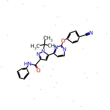 CC(C)(C)n1nc(C(=O)Nc2ccccc2)cc1-c1ccnc(Oc2ccc(C#N)cc2)n1